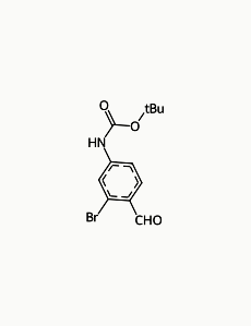 CC(C)(C)OC(=O)Nc1ccc(C=O)c(Br)c1